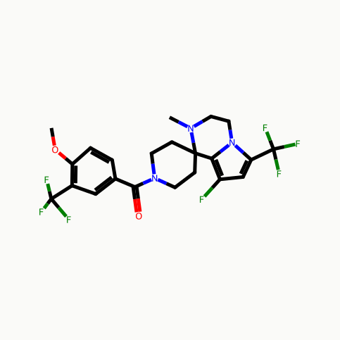 COc1ccc(C(=O)N2CCC3(CC2)c2c(F)cc(C(F)(F)F)n2CCN3C)cc1C(F)(F)F